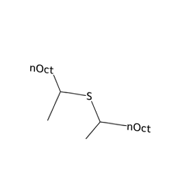 CCCCCCCCC(C)SC(C)CCCCCCCC